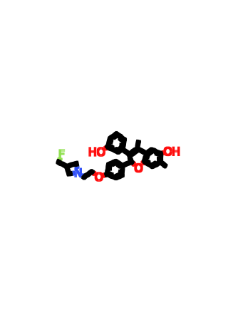 CC1=C(c2cccc(O)c2)C(c2ccc(OCCN3CC(CF)C3)cc2)Oc2cc(C)c(O)cc21